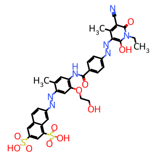 CCn1c(O)c(/N=N/c2ccc(C(=O)Nc3cc(C)c(/N=N/c4ccc5cc(S(=O)(=O)O)cc(S(=O)(=O)O)c5c4)cc3OCCO)cc2)c(C)c(C#N)c1=O